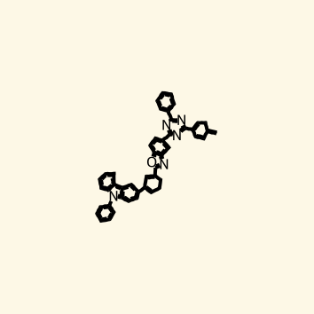 C=C1C=CC(c2nc(-c3ccccc3)nc(-c3ccc4oc(C5=CC(c6ccc7c(c6)c6ccccc6n7-c6ccccc6)=CCC5)nc4c3)n2)=CC1